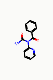 NC(=O)N(C(=O)c1ccccc1)c1ccccn1